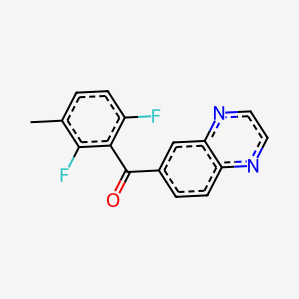 Cc1ccc(F)c(C(=O)c2ccc3nccnc3c2)c1F